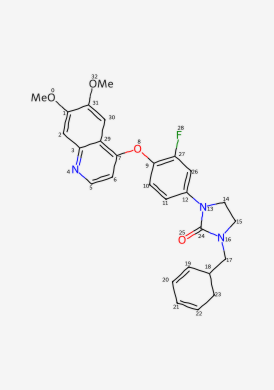 COc1cc2nccc(Oc3ccc(N4CCN(CC5C=CC=CC5)C4=O)cc3F)c2cc1OC